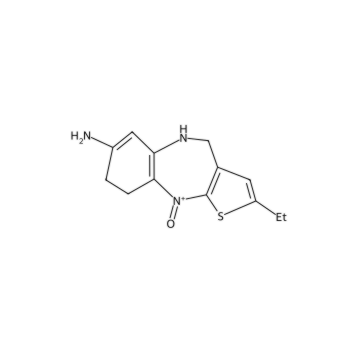 CCc1cc2c(s1)[N+](=O)C1=C(C=C(N)CC1)NC2